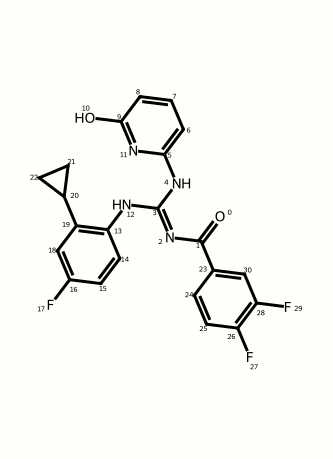 O=C(/N=C(\Nc1cccc(O)n1)Nc1ccc(F)cc1C1CC1)c1ccc(F)c(F)c1